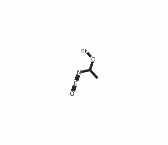 [CH2]COC(C)N=C=O